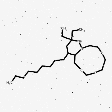 CCCCCCCCCC1CC(CC)(CC)NN2CCCCCCCCCC12